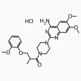 COc1cc2nc(N3CCN(C(=O)C(C)COc4ccccc4OC)CC3)nc(N)c2cc1OC.Cl